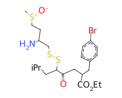 CCOC(=O)C(CC(=O)C(CC(C)C)SSCC(N)CC[S+](C)[O-])Cc1ccc(Br)cc1